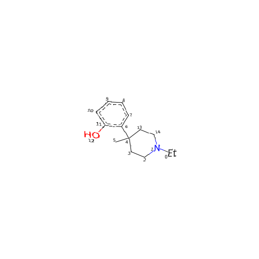 CCN1CCC(C)(c2ccccc2O)CC1